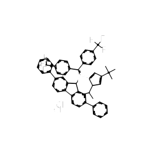 CC(C)C1C=C(C(C)(C)C)C=[C]1[Zr+2](=[C](c1ccc(C(F)(F)F)cc1)c1ccc(C(F)(F)F)cc1)[CH]1c2cc(-c3ccccc3)ccc2-c2ccc(-c3ccccc3)cc21.[Cl-].[Cl-]